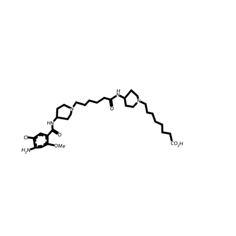 COc1cc(N)c(Cl)cc1C(=O)NC1CCN(CCCCCC(=O)NC2CCN(CCCCCCCC(=O)O)CC2)CC1